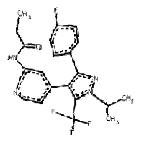 CCC(=O)Nc1cc(-c2c(-c3ccc(F)cc3)nn(C(C)C)c2C(F)(F)F)ccn1